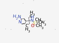 CCC(CC)(N[S+]([O-])C(C)(C)C)c1ccnc(N)c1